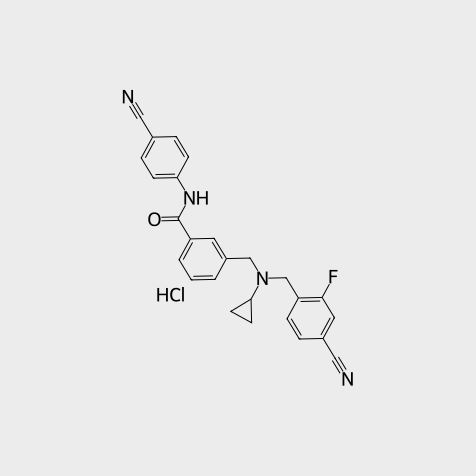 Cl.N#Cc1ccc(NC(=O)c2cccc(CN(Cc3ccc(C#N)cc3F)C3CC3)c2)cc1